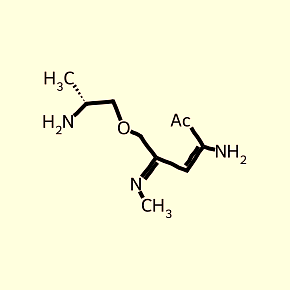 C/N=C(\C=C(\N)C(C)=O)COC[C@@H](C)N